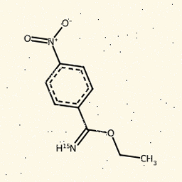 CCOC(=[15NH])c1ccc([N+](=O)[O-])cc1